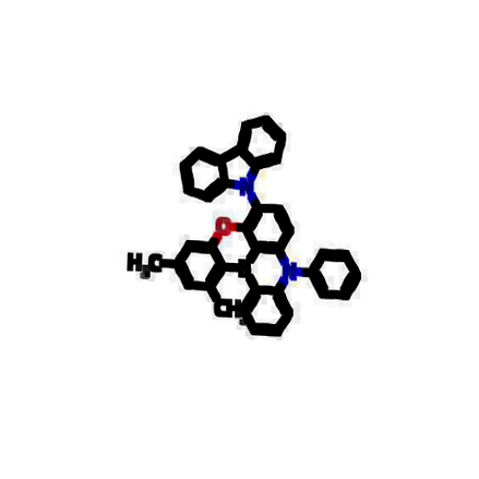 Cc1cc(C)c2c(c1)Oc1c(-n3c4ccccc4c4ccccc43)ccc3c1B2c1ccccc1N3c1ccccc1